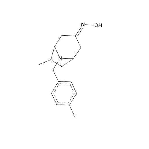 Cc1ccc(CN2C3CC(=NO)CC2C(C)C3)cc1